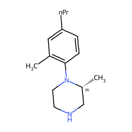 CCCc1ccc(N2CCNC[C@H]2C)c(C)c1